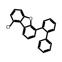 Clc1cccc2oc3c(-c4ccccc4-c4ccccc4)cccc3c12